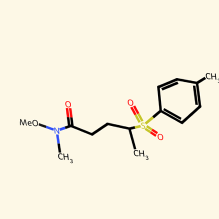 CON(C)C(=O)CCC(C)S(=O)(=O)c1ccc(C)cc1